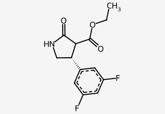 CCOC(=O)C1C(=O)NC[C@H]1c1cc(F)cc(F)c1